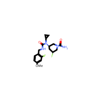 COc1ccc(CNC(=O)N(C2CC2)[C@@H]2C[C@H](F)CN(C(N)=O)C2)c(F)c1